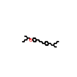 CCCCC(CC)CCc1ccc(/C=C/C=C/c2ccc(OCC(CC)CCCC)cc2)cc1